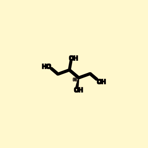 OCC(O)[C@@H](O)CO